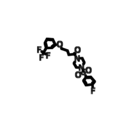 O=C(CCCOc1cccc(C(F)(F)F)c1)N1CCN(S(=O)(=O)c2ccc(F)cc2)CC1